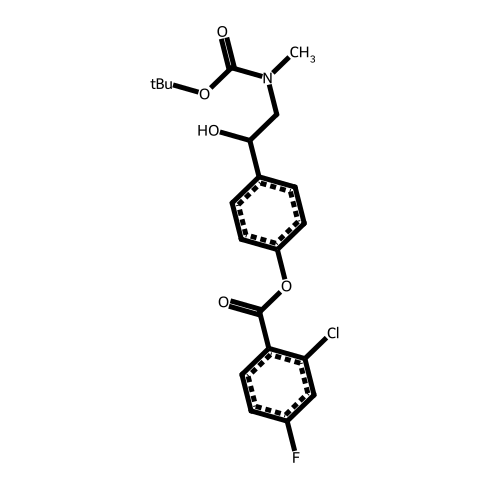 CN(CC(O)c1ccc(OC(=O)c2ccc(F)cc2Cl)cc1)C(=O)OC(C)(C)C